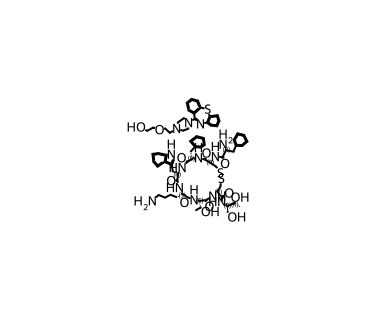 CC(O)[C@@H]1NC(=O)[C@H](CCCCN)NC(=O)[C@@H](Cc2c[nH]c3ccccc23)NC(=O)[C@H](Cc2ccccc2)NC(=O)[C@@H](NC(=O)[C@H](N)Cc2ccccc2)CSSC[C@@H](C(=O)N[C@H](CO)[C@@H](C)O)NC1=O.OCCOCCN1CCN(C2=Nc3ccccc3Sc3ccccc32)CC1